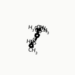 Cc1ccc(NC(=S)OCc2ccc(B3OC(C)(C)C(C)(C)O3)cc2)cc1